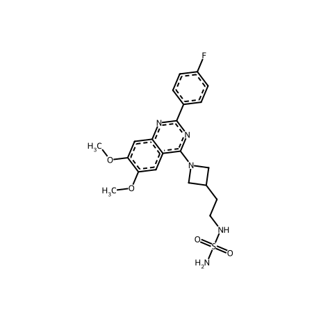 COc1cc2nc(-c3ccc(F)cc3)nc(N3CC(CCNS(N)(=O)=O)C3)c2cc1OC